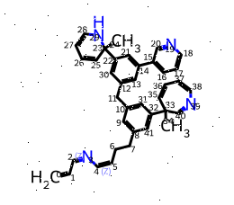 C=C/C=N\C=C/CCc1cc(Cc2cc(-c3cccnc3)cc(C3(C)C=CC=CN3)c2)cc(C2(C)C=CC=CN=C2)c1